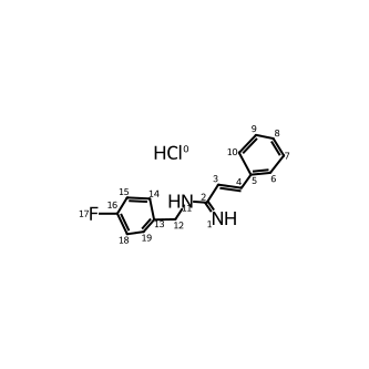 Cl.N=C(/C=C/c1ccccc1)NCc1ccc(F)cc1